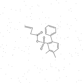 C=CCC(=O)OS(=O)(=O)c1c(-c2ccccc2)ccc(C)c1C